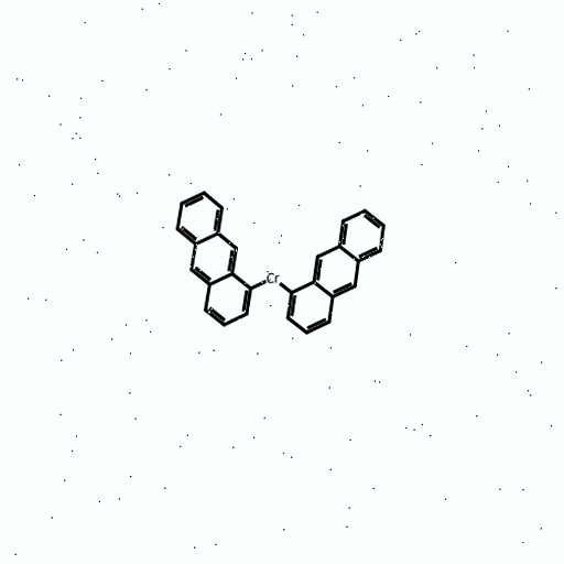 c1ccc2cc3[c]([Cr][c]4cccc5cc6ccccc6cc45)cccc3cc2c1